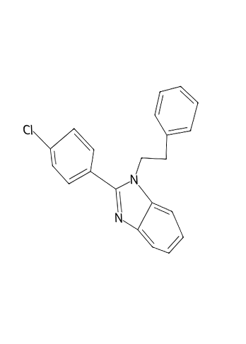 Clc1ccc(-c2nc3ccccc3n2CCc2ccccc2)cc1